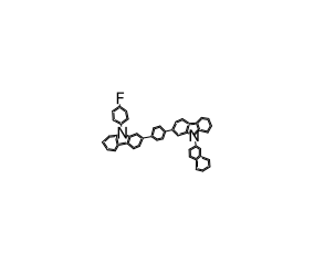 Fc1ccc(-n2c3ccccc3c3ccc(-c4ccc(-c5ccc6c7ccccc7n(-c7ccc8ccccc8c7)c6c5)cc4)cc32)cc1